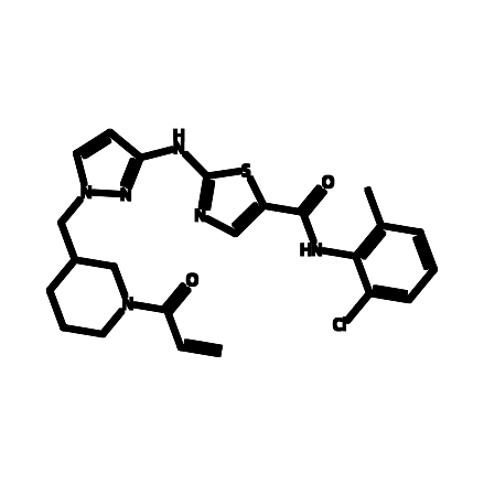 C=CC(=O)N1CCCC(Cn2ccc(Nc3ncc(C(=O)Nc4c(C)cccc4Cl)s3)n2)C1